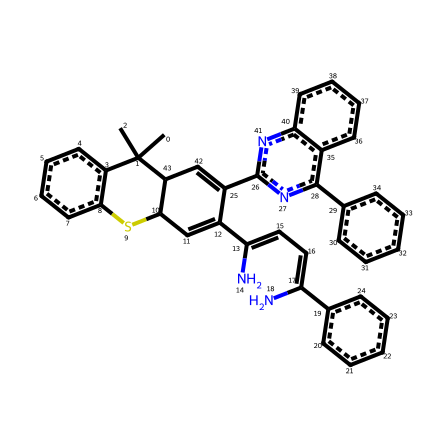 CC1(C)c2ccccc2SC2C=C(/C(N)=C/C=C(\N)c3ccccc3)C(c3nc(-c4ccccc4)c4ccccc4n3)=CC21